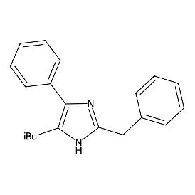 CCC(C)c1[nH]c(Cc2ccccc2)nc1-c1ccccc1